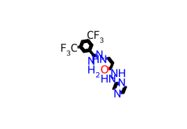 N/C(=N\N/C=C\C(=O)NNc1cnccn1)c1cc(C(F)(F)F)cc(C(F)(F)F)c1